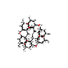 Cc1cc(C)c([CH](c2c(C)cc(C)cc2C)[Cr]([CH](c2c(C)cc(C)cc2C)c2c(C)cc(C)cc2C)[CH](c2c(C)cc(C)cc2C)c2c(C)cc(C)cc2C)c(C)c1